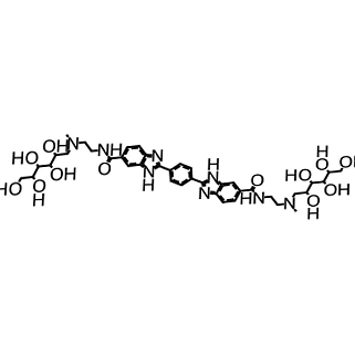 CN(CCNC(=O)c1ccc2nc(-c3ccc(-c4nc5ccc(C(=O)NCCN(C)CC(O)C(O)C(O)C(O)CO)cc5[nH]4)cc3)[nH]c2c1)CC(O)C(O)C(O)C(O)CO